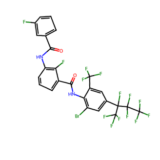 O=C(Nc1cccc(C(=O)Nc2c(Br)cc(C(F)(C(F)(F)F)C(F)(F)C(F)(F)F)cc2C(F)(F)F)c1F)c1cccc(F)c1